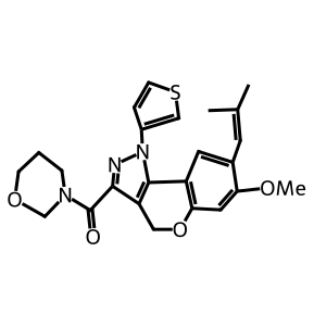 COc1cc2c(cc1C=C(C)C)-c1c(c(C(=O)N3CCCOC3)nn1-c1ccsc1)CO2